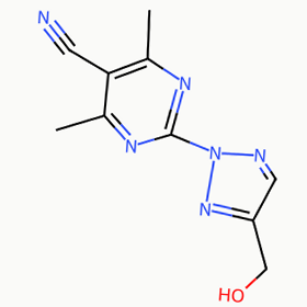 Cc1nc(-n2ncc(CO)n2)nc(C)c1C#N